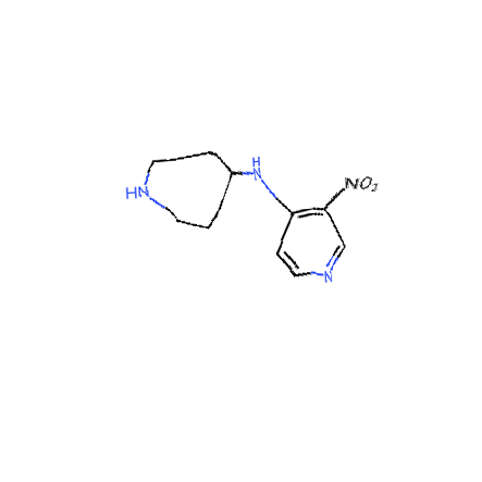 O=[N+]([O-])c1cnccc1NC1CCNCC1